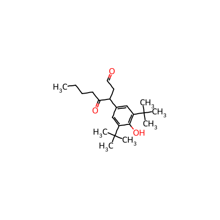 CCCCC(=O)C(CC=O)c1cc(C(C)(C)C)c(O)c(C(C)(C)C)c1